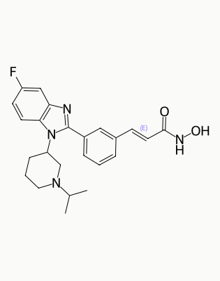 CC(C)N1CCCC(n2c(-c3cccc(/C=C/C(=O)NO)c3)nc3cc(F)ccc32)C1